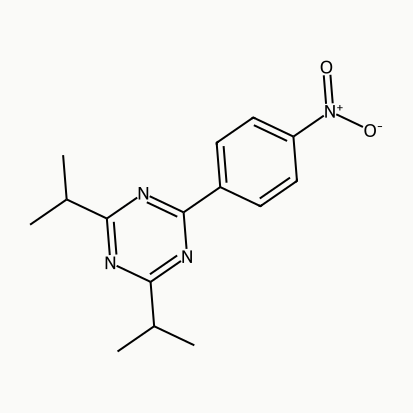 CC(C)c1nc(-c2ccc([N+](=O)[O-])cc2)nc(C(C)C)n1